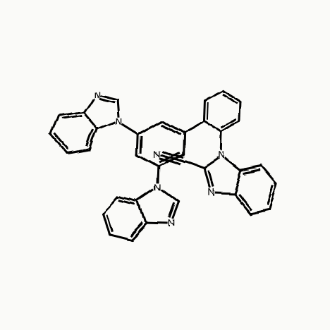 N#Cc1nc2ccccc2n1-c1ccccc1-c1cc(-n2cnc3ccccc32)cc(-n2cnc3ccccc32)c1